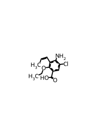 C/C=C\c1c(N)c(Cl)cc(C(=O)O)c1OCC